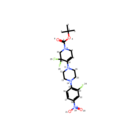 CC(C)(C)OC(=O)N1CC=C(N2CCN(c3ccc([N+](=O)[O-])cc3F)CC2)C(F)(F)C1